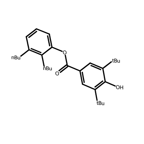 CCCCc1cccc(OC(=O)c2cc(C(C)(C)C)c(O)c(C(C)(C)C)c2)c1CCCC